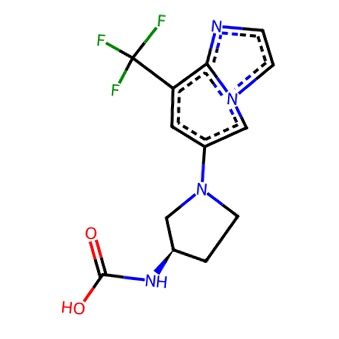 O=C(O)N[C@@H]1CCN(c2cc(C(F)(F)F)c3nccn3c2)C1